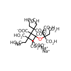 O=C([O-])CC(OC(CC(=O)O)(CC(=O)O)C(=O)O)(C(=O)[O-])C(C(=O)[O-])(C(CC(=O)O)(CC(=O)O)C(=O)O)C(CC(=O)O)(CC(=O)O)C(=O)O.[Na+].[Na+].[Na+]